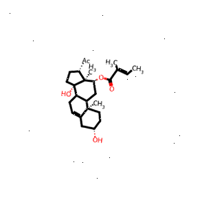 C/C=C(\C)C(=O)O[C@@H]1CC2C(CC=C3C[C@@H](O)CC[C@@]32C)[C@@]2(O)CC[C@H](C(C)=O)[C@@]12C